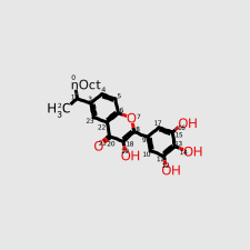 CCCCCCCCC(C)c1ccc2oc(-c3cc(O)c(O)c(O)c3)c(O)c(=O)c2c1